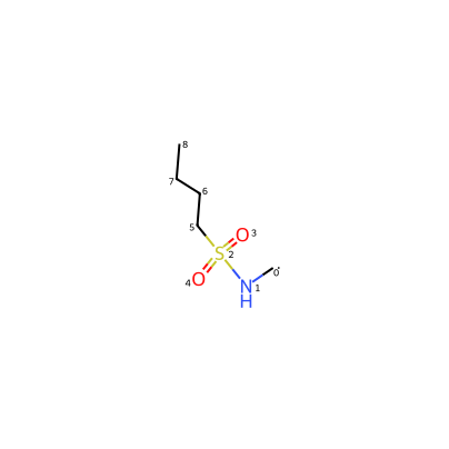 [CH2]NS(=O)(=O)CCCC